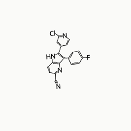 N#Cc1ccc2[nH]c(-c3ccnc(Cl)c3)c(-c3ccc(F)cc3)c2n1